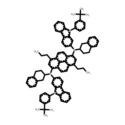 CCCc1cc(N(c2ccc3c4ccccc4n(-c4cccc(C(C)(C)C)c4)c3c2)C2CCc3ccccc3C2)c2ccc3c(CCC)cc(N(c4ccc5c6ccccc6n(-c6cccc(C(C)(C)C)c6)c5c4)C4CCc5ccccc5C4)c4ccc1c2c34